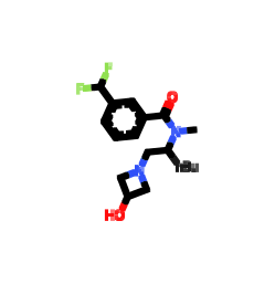 CCCCC(CN1CC(O)C1)N(C)C(=O)c1cccc(C(F)F)c1